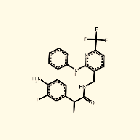 CC(C(=O)NCc1ccc(C(F)(F)F)nc1Nc1ccccc1)c1ccc(N)c(F)c1